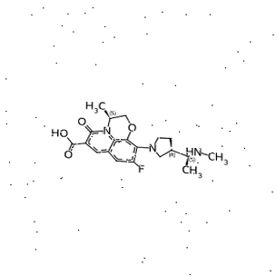 CN[C@@H](C)[C@@H]1CCN(c2c(F)cc3cc(C(=O)O)c(=O)n4c3c2OC[C@@H]4C)C1